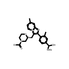 CCC(=O)N1CCO[C@@H](Cc2c(-c3ccc(C(O)NC)cc3C)nc3cc(C)ccn23)C1